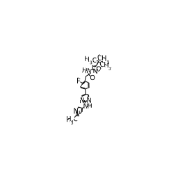 Cn1cc(Nc2ncc(-c3ccc(CC(=O)Nc4cc(C(C)(C)C)on4)c(F)c3)cn2)cn1